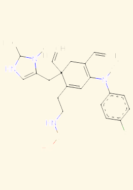 C=CC1=C(N(C)c2ccc(F)cc2)C=C(CCNSO)C(C=C)(CC2=CNC(C)N2C)C1